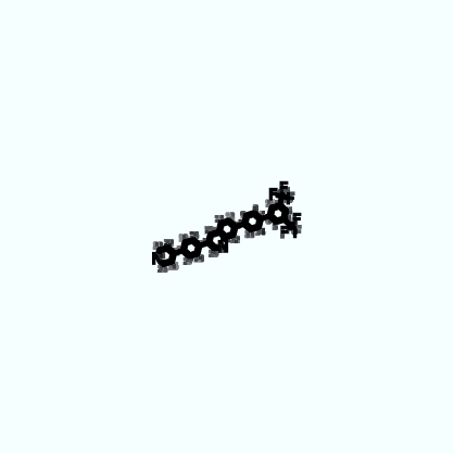 FC(F)(F)c1cc(-c2ccc(-c3ccc4cc(-c5ccc(-c6ccncc6)cc5)cnc4c3)cc2)cc(C(F)(F)F)c1